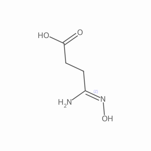 N/C(CCC(=O)O)=N\O